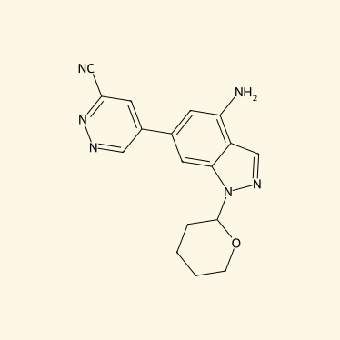 N#Cc1cc(-c2cc(N)c3cnn(C4CCCCO4)c3c2)cnn1